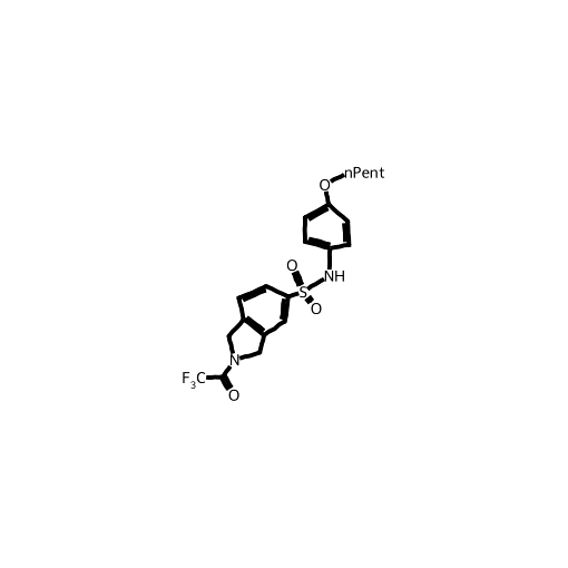 CCCCCOc1ccc(NS(=O)(=O)c2ccc3c(c2)CN(C(=O)C(F)(F)F)C3)cc1